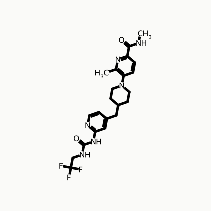 CNC(=O)c1ccc(N2CCC(Cc3ccnc(NC(=O)NCC(F)(F)F)c3)CC2)c(C)n1